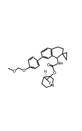 COCOc1ccc(-c2ccc3c(c2)C(NC(=O)O[C@H]2CN4CCC2CC4)C2(CC3)CC2)cc1